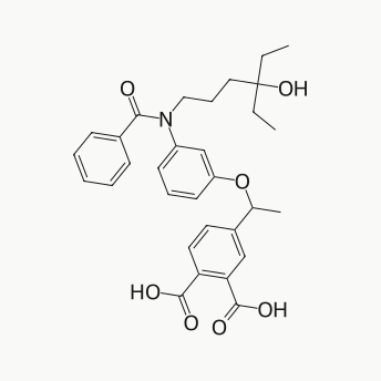 CCC(O)(CC)CCCN(C(=O)c1ccccc1)c1cccc(OC(C)c2ccc(C(=O)O)c(C(=O)O)c2)c1